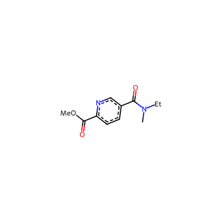 CCN(C)C(=O)c1ccc(C(=O)OC)nc1